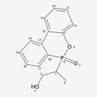 CC(CO)P1(=O)Oc2ccccc2-c2ccccc21